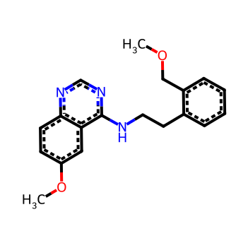 COCc1ccccc1CCNc1ncnc2ccc(OC)cc12